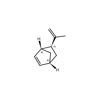 C=C(C)[C@H]1C[C@@H]2C=C[C@H]1C2